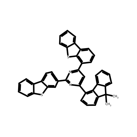 CC1(C)c2ccccc2-c2c(-c3cc(-c4cccc5c4sc4ccccc45)nc(-c4ccc5c(c4)sc4ccccc45)n3)cccc21